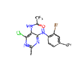 Cc1nc(Cl)c(NC(=O)C(F)(F)F)c(Nc2ccc(C(C)C)cc2Br)n1